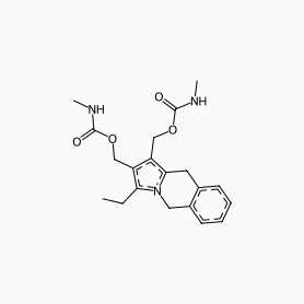 CCc1c(COC(=O)NC)c(COC(=O)NC)c2n1Cc1ccccc1C2